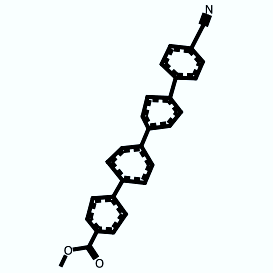 COC(=O)c1ccc(-c2ccc(-c3ccc(-c4ccc(C#N)cc4)cc3)cc2)cc1